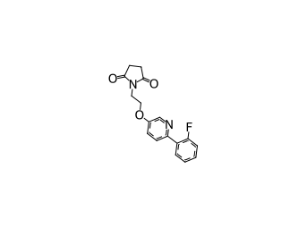 O=C1CCC(=O)N1CCOc1ccc(-c2ccccc2F)nc1